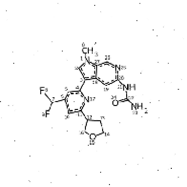 Cn1cc(-c2cc(C(F)F)cc(C3CCOC3)n2)c2cc(NC(N)=O)ncc21